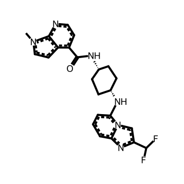 Cn1ccc2c(C(=O)N[C@H]3CC[C@@H](Nc4cccc5nc(C(F)F)cn45)CC3)ccnc21